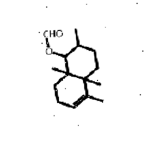 CC1=CCCC2(C)C(OC=O)C(C)CCC12C